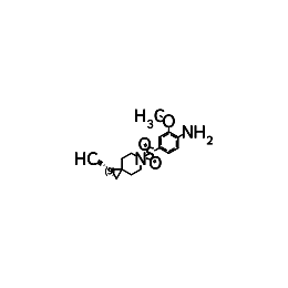 C#C[C@H]1CC12CCN(S(=O)(=O)c1ccc(N)c(OC)c1)CC2